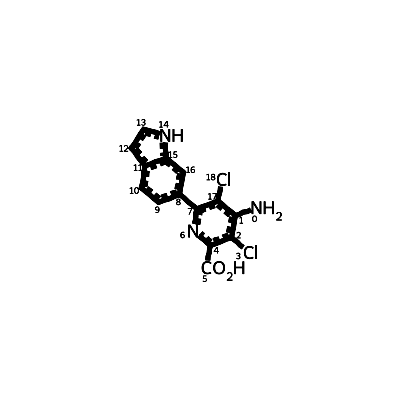 Nc1c(Cl)c(C(=O)O)nc(-c2ccc3cc[nH]c3c2)c1Cl